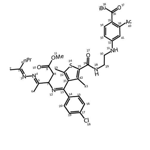 CCC/C(C)=N\N=C(/C)C(CC(=O)OC)/N=C(/c1ccc(Cl)cc1)c1c(C)sc(C(=O)NCCNc2ccc(C(=O)C(C)CC)c(C(C)=O)c2)c1C